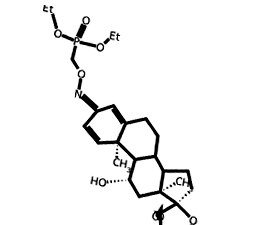 CCOP(=O)(CON=C1C=C[C@@]2(C)C(=C1)CCC1C2[C@@H](O)C[C@@]2(C)C1CC[C@@]21OCOC12COCO2)OCC